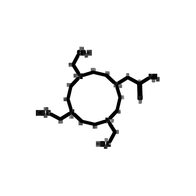 NC(=O)CN1CCN(CC(=O)O)CCN(CC(=O)O)CCN(CC(=O)O)CC1